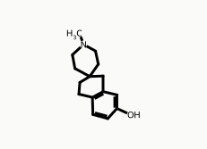 CN1CCC2(CCc3ccc(O)cc3C2)CC1